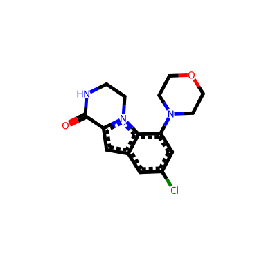 O=C1NCCn2c1cc1cc(Cl)cc(N3CCOCC3)c12